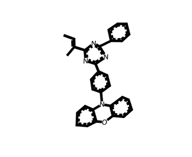 C/C=C(\C)c1nc(-c2ccccc2)nc(-c2ccc(N3c4ccccc4Oc4ccccc43)cc2)n1